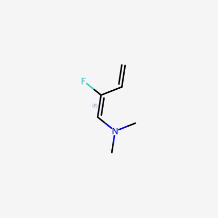 C=C/C(F)=C\N(C)C